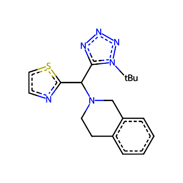 CC(C)(C)n1nnnc1C(c1nccs1)N1CCc2ccccc2C1